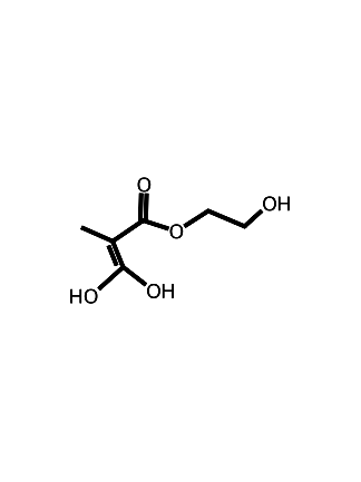 CC(C(=O)OCCO)=C(O)O